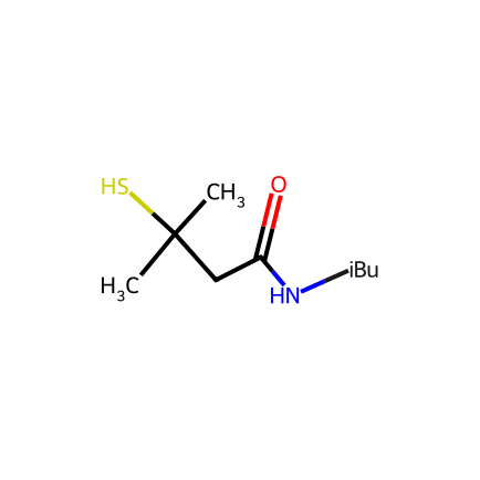 CCC(C)NC(=O)CC(C)(C)S